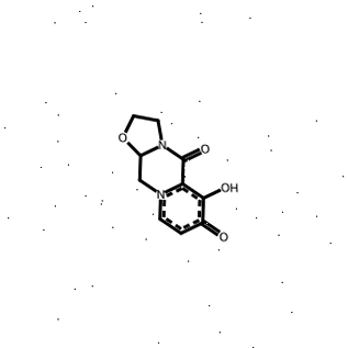 O=C1c2c(O)c(=O)ccn2CC2OCCN12